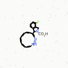 O=C(O)N1Cc2c(F)cccc2C1C1=CN=NNC=CC=CC=CC=CC=C1